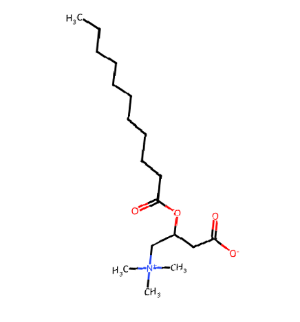 CCCCCCCCCCC(=O)OC(CC(=O)[O-])C[N+](C)(C)C